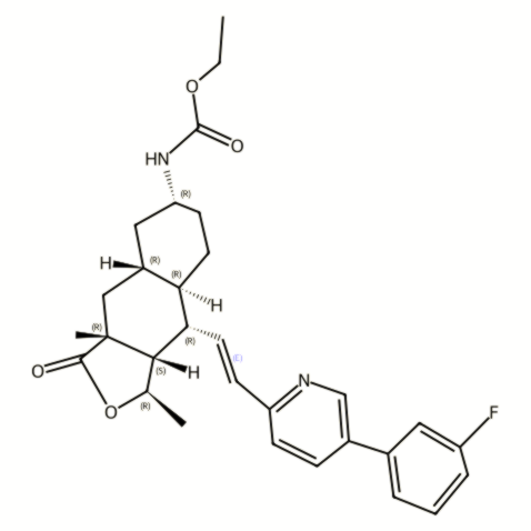 CCOC(=O)N[C@@H]1CC[C@@H]2[C@@H](C1)C[C@@]1(C)C(=O)O[C@H](C)[C@H]1[C@H]2/C=C/c1ccc(-c2cccc(F)c2)cn1